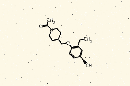 C#Cc1ccc(OCC2CCN(C(C)=O)CC2)c(CC)c1